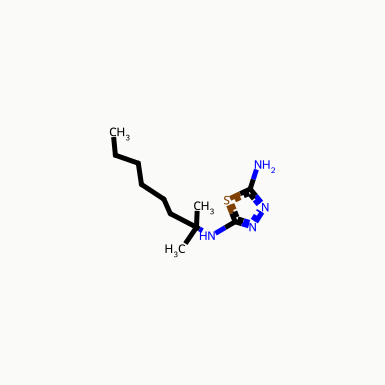 CCCCCCC(C)(C)Nc1nnc(N)s1